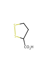 O=C(O)C1CCSS1